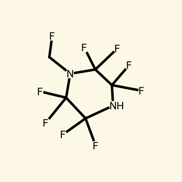 FCN1C(F)(F)C(F)(F)NC(F)(F)C1(F)F